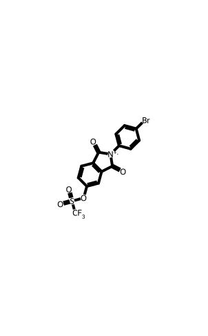 O=C1c2ccc(OS(=O)(=O)C(F)(F)F)cc2C(=O)[N+]1c1ccc(Br)cc1